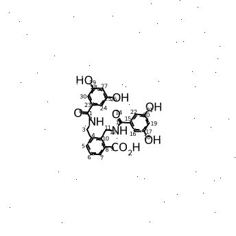 O=C(NCc1cccc(C(=O)O)c1CNC(=O)c1cc(O)cc(O)c1)c1cc(O)cc(O)c1